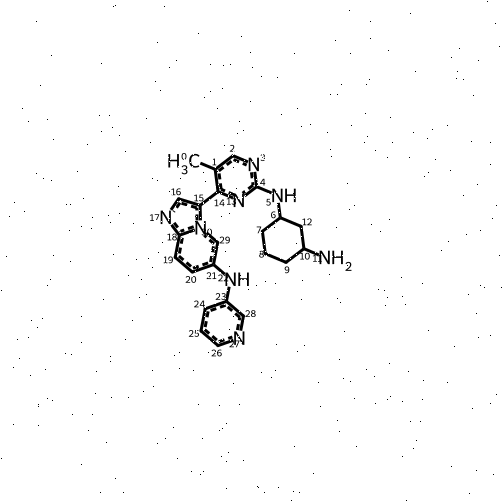 Cc1cnc(NC2CCCC(N)C2)nc1-c1cnc2ccc(Nc3cccnc3)cn12